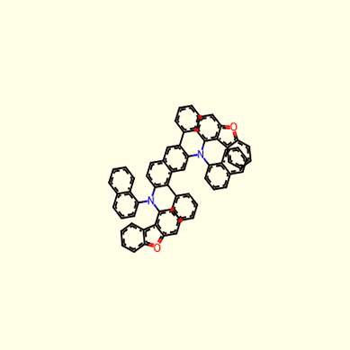 c1ccc(-c2cc3ccc(N(c4cccc5ccccc45)c4cccc5oc6ccccc6c45)c(-c4ccccc4)c3cc2N(c2cccc3ccccc23)c2cccc3oc4ccccc4c23)cc1